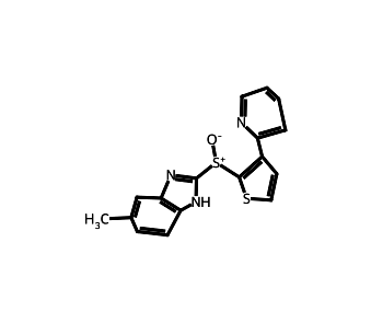 Cc1ccc2[nH]c([S+]([O-])c3sccc3-c3ccccn3)nc2c1